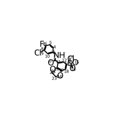 O=C(Nc1ccc(F)c(Cl)c1)c1cc(S(=O)(=O)Cl)cc2c1OCCO2